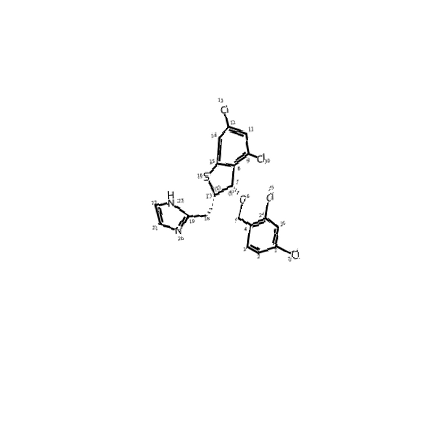 Clc1ccc(CO[C@H]2c3c(Cl)cc(Cl)cc3S[C@H]2Cc2ncc[nH]2)c(Cl)c1